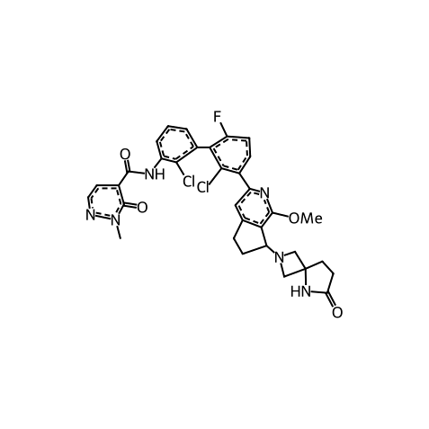 COc1nc(-c2ccc(F)c(-c3cccc(NC(=O)c4ccnn(C)c4=O)c3Cl)c2Cl)cc2c1C(N1CC3(CCC(=O)N3)C1)CC2